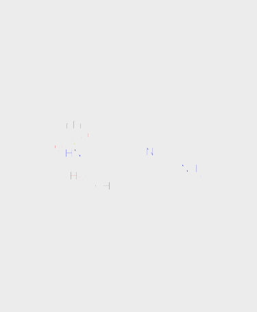 CCCS(=O)(=O)NCC(C)(O)c1ccc(N(CCN)Cc2ccccc2)cc1